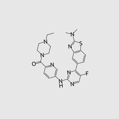 CCN1CCN(C(=O)c2ccc(Nc3ncc(F)c(-c4ccc5sc(N(C)C)nc5c4)n3)cn2)CC1